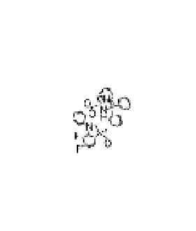 C[C@H](NC(c1ccccc1)(c1ccccc1)c1ccccc1)C(=O)Oc1ccccc1N1C[C@]2(CC2=O)c2ccc(F)c(F)c21